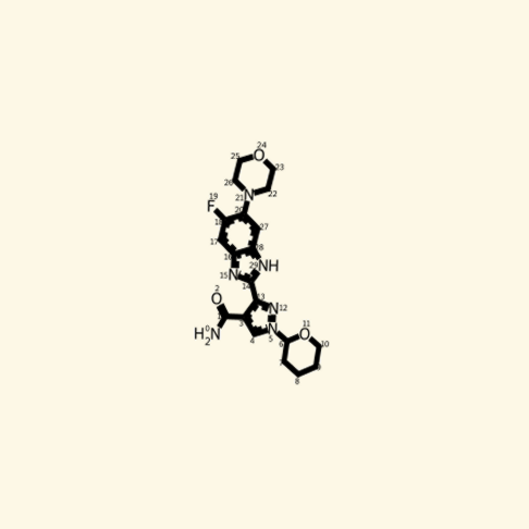 NC(=O)c1cn(C2CCCCO2)nc1-c1nc2cc(F)c(N3CCOCC3)cc2[nH]1